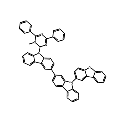 CN1C(c2ccccc2)=NC(c2ccccc2)=NC1n1c2ccccc2c2cc(-c3ccc4c5ccccc5n(-c5ccc6sc7ccccc7c6c5)c4c3)ccc21